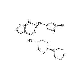 CCn1cc(Nc2nc(N[C@H]3CC[C@H](N4CCOCC4)CC3)c3cccn3n2)cn1